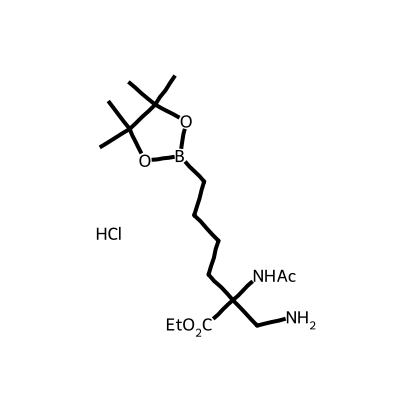 CCOC(=O)C(CN)(CCCCB1OC(C)(C)C(C)(C)O1)NC(C)=O.Cl